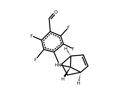 O=Cc1c(F)c(F)c(N[C@@H]2[C@@H]3C=C[C@H]2CC3)c(F)c1F